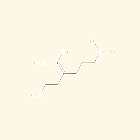 CCN(CC)CCCC(CCNC)=C(C)C(=O)O